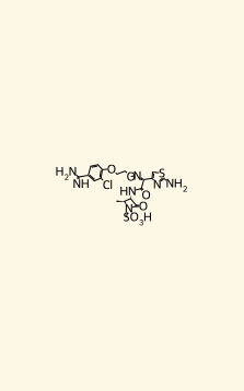 C[C@H]1[C@H](NC(=O)C(=NOCCOc2ccc(C(=N)N)cc2Cl)c2csc(N)n2)C(=O)N1S(=O)(=O)O